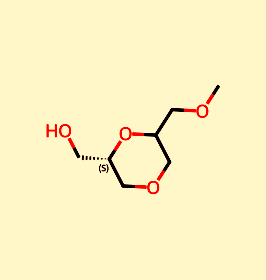 COCC1COC[C@H](CO)O1